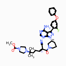 COC(=O)N1CCN(C(C)(C)CC/C=C(\C#N)C(=O)N2CCC[C@@H](n3nc(-c4ccc(Oc5ccccc5)cc4F)c4c(N)ncnc43)C2)CC1